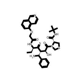 CC[C@@H](NC(=O)COc1cccc2cnccc12)C(=S)[C@@H](C(N)c1ccccc1)[C@H](O)C(=O)N1CSC[C@H]1C(=O)NC(C)(C)C